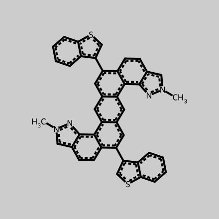 Cn1cc2ccc3c(-c4csc5ccccc45)cc4cc5c(cc(-c6csc7ccccc67)c6ccc7cn(C)nc7c65)cc4c3c2n1